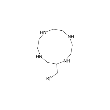 [Rf][CH2]C1CNCCNCCNCCN1